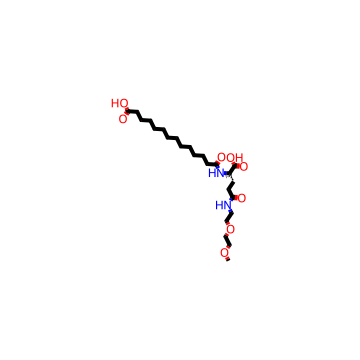 COCCOCCNC(=O)CC[C@H](NC(=O)CCCCCCCCCCCCC(=O)O)C(=O)O